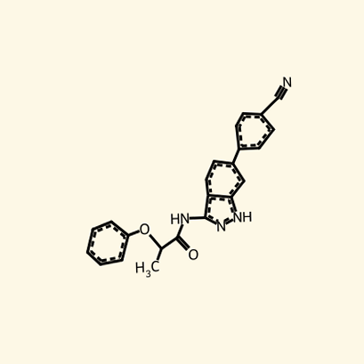 CC(Oc1ccccc1)C(=O)Nc1n[nH]c2cc(-c3ccc(C#N)cc3)ccc12